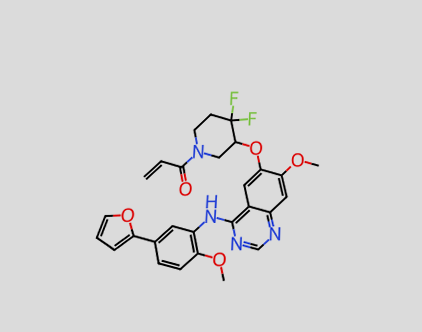 C=CC(=O)N1CCC(F)(F)C(Oc2cc3c(Nc4cc(-c5ccco5)ccc4OC)ncnc3cc2OC)C1